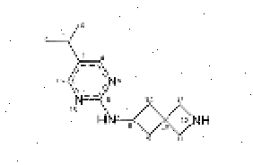 CC(C)c1cnc(NC2CC3(CNC3)C2)nc1